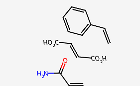 C=CC(N)=O.C=Cc1ccccc1.O=C(O)C=CC(=O)O